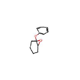 c1ccc(OC23CCCCC2O3)cc1